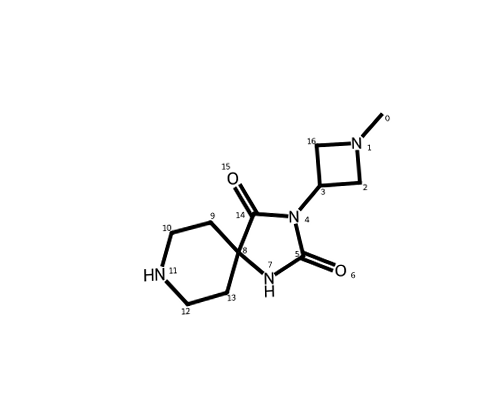 CN1CC(N2C(=O)NC3(CCNCC3)C2=O)C1